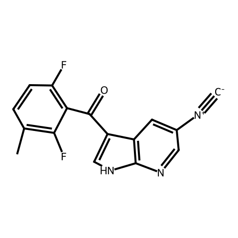 [C-]#[N+]c1cnc2[nH]cc(C(=O)c3c(F)ccc(C)c3F)c2c1